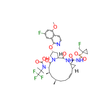 COc1cc(F)cc2c(O[C@@H]3C[C@H]4C(=O)N[C@]5(C(=O)NS(=O)(=O)C6(CF)CC6)C[C@H]5/C=C\CC[C@@H](C)C[C@@H](C)[C@H](N(C(=O)O)C(C)(C)C(F)(F)F)C(=O)N4C3)nccc12